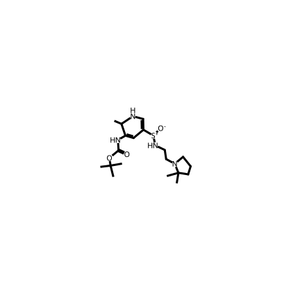 CC1NC=C([S+]([O-])NCCN2CCCC2(C)C)C=C1NC(=O)OC(C)(C)C